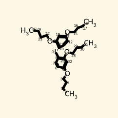 CCCCOc1ccc([I+]c2ccc(OCCCC)cc2OCCCC)c(OCCCC)c1